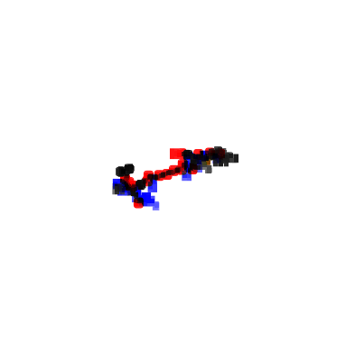 CCCO[C@H](C[C@H](C(C)C)N(CCC)C(=O)C[C@@H](C)CC)c1nc(C(=O)N[C@@H](Cc2ccc(O)cc2)C[C@H](C)C(=O)NNC(=O)OCCOCCOCCOCCNC(=O)OCc2ccc(NC(=O)[C@H](CCCNC(N)=O)NC(=O)[C@@H](NC(=O)OCC3c4ccccc4-c4ccccc43)C(C)C)cc2)cs1